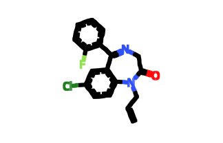 C=CCN1C(=O)CN=C(c2ccccc2F)c2cc(Cl)ccc21